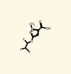 Cn1nc(OC(F)C(F)F)cc1C(=O)O